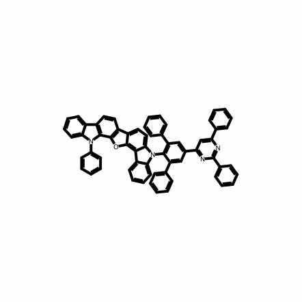 c1ccc(-c2cc(-c3cc(-c4ccccc4)c(-n4c5ccccc5c5c6oc7c(ccc8c9ccccc9n(-c9ccccc9)c87)c6ccc54)c(-c4ccccc4)c3)nc(-c3ccccc3)n2)cc1